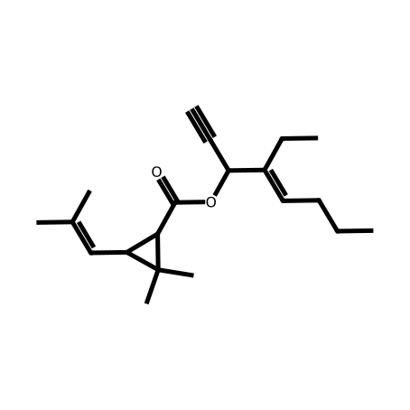 C#CC(OC(=O)C1C(C=C(C)C)C1(C)C)C(=CCCC)CC